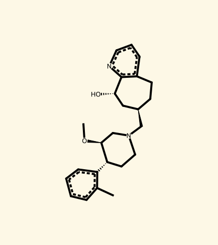 CO[C@H]1CN(C[C@@H]2CCc3cccnc3[C@@H](O)C2)CC[C@@H]1c1ccccc1C